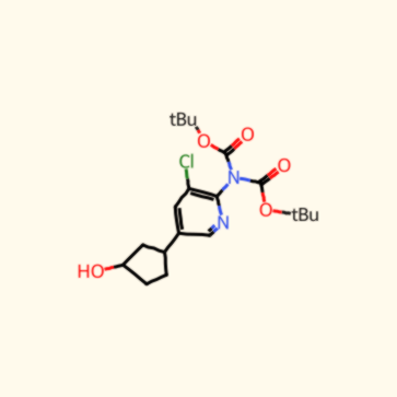 CC(C)(C)OC(=O)N(C(=O)OC(C)(C)C)c1ncc(C2CCC(O)C2)cc1Cl